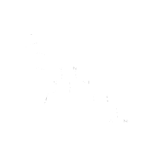 NC(=O)Cc1ccc(CNc2ncnc(N3C[C@@H](F)C[C@@H]3c3ccc(C(F)(F)F)cc3)c2F)cc1